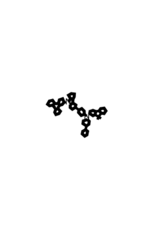 CC1(C)c2ccccc2-c2ccc(N(c3ccc(-c4ccccc4)cc3)c3ccc(-c4ccc5c(c4)c4ccccc4n5-c4ccc5c6ccccc6c6ccccc6c5c4)cc3)cc21